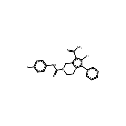 NC(=S)c1c(Cl)c(-c2cccnc2)n2c1CN(C(=O)Nc1ccc(F)cc1)CC2